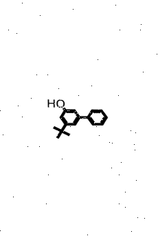 CC(C)(C)c1cc(O)cc(-c2ccccc2)c1